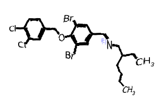 CCCCC(CC)C/N=C/c1cc(Br)c(OCc2ccc(Cl)c(Cl)c2)c(Br)c1